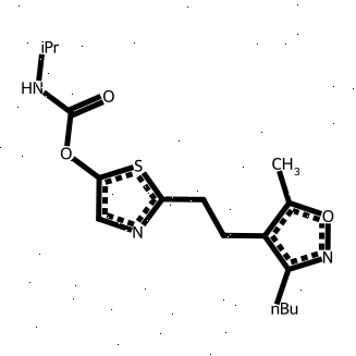 CCCCc1noc(C)c1CCc1ncc(OC(=O)NC(C)C)s1